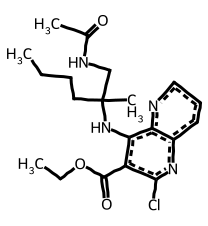 CCCCC(C)(CNC(C)=O)Nc1c(C(=O)OCC)c(Cl)nc2cccnc12